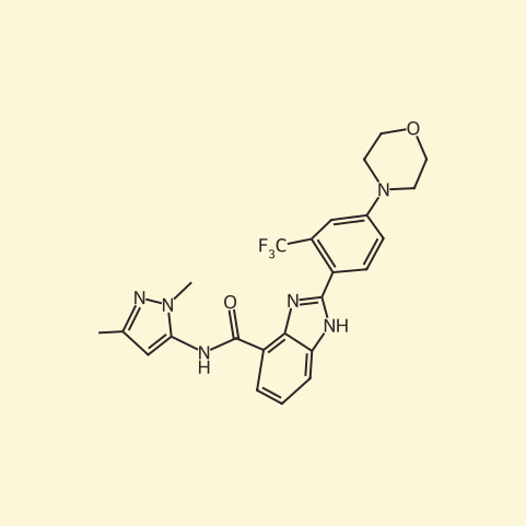 Cc1cc(NC(=O)c2cccc3[nH]c(-c4ccc(N5CCOCC5)cc4C(F)(F)F)nc23)n(C)n1